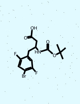 CC(C)(C)OC(=O)NC(CC(=O)O)Cc1cc(F)c(Br)cc1F